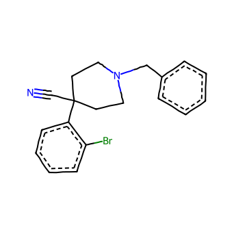 N#CC1(c2ccccc2Br)CCN(Cc2ccccc2)CC1